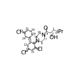 CC(C)C[C@H](O)C(=O)N1CCN(c2ccc(Cl)cc2Cl)[C@H](c2ccc(Cl)cc2)C1